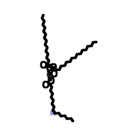 CCCCCC/C=C\CCCCCCCC(=O)OC[C@@H](COC(=O)CCCCCCCCCCCCCCC)OC(=O)CCCCCCCCCCCCCCC